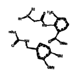 CCCCCCCCC(=O)NCc1ccc(O)c(OC)c1.CCN(CC)CC(=O)Nc1c(C)cccc1C(=O)OC